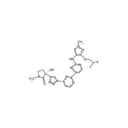 CN1CC[C@@](O)(c2cn(-c3cccc(-c4ccnc(Nc5cn(C)nc5OCC(F)F)n4)n3)nn2)C1=O